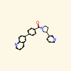 O=C(c1ccc(-c2ccc3ncccc3c2)cc1)N1CCC(c2cccnc2)C1